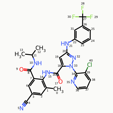 Cc1cc(C#N)cc(C(=O)NC(C)C)c1NC(=O)c1cc(Nc2cccc(C(F)(F)F)c2)nn1-c1ncccc1Cl